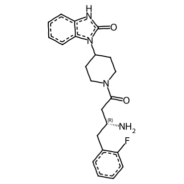 N[C@@H](CC(=O)N1CCC(n2c(=O)[nH]c3ccccc32)CC1)Cc1ccccc1F